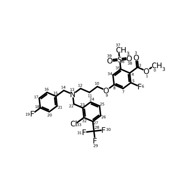 COC(=O)c1c(F)cc(OCCCN(Cc2ccc(F)cc2)Cc2cccc(C(F)(F)F)c2Cl)cc1S(C)(=O)=O